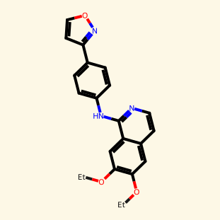 CCOc1cc2ccnc(Nc3ccc(-c4ccon4)cc3)c2cc1OCC